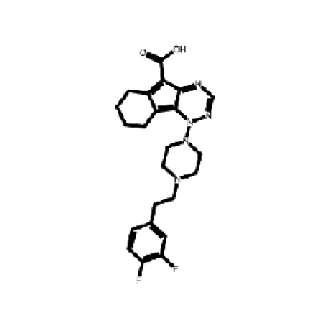 O=C(O)c1c2ncnn(N3CCN(CCc4ccc(F)c(F)c4)CC3)c-2c2c1CCCC2